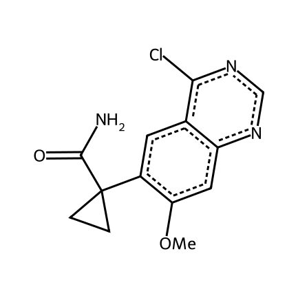 COc1cc2ncnc(Cl)c2cc1C1(C(N)=O)CC1